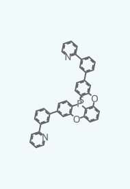 S=P12c3ccc(-c4cccc(-c5ccccn5)c4)cc3Oc3cccc(c31)Oc1cc(-c3cccc(-c4ccccn4)c3)ccc12